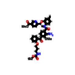 COC(=O)c1ccc(COc2cc(C)ccc2N(C)C(=O)c2ccc(C(=O)c3ccccc3OCCCNC(=O)OC(C)(C)C)c(OC)c2N)nc1